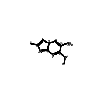 COc1nc2nc(C)cn2cc1N